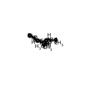 CN1CCC[C@H]1COC(=O)Nc1ccc(-c2cnc(N3CCC(OC(=O)NCc4ccccc4)CC3)s2)c(S(=O)(=O)NC(C)(C)C)c1